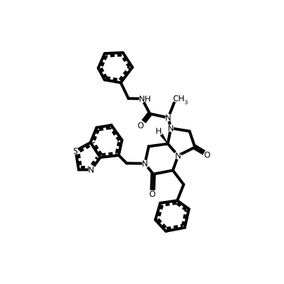 CN(C(=O)NCc1ccccc1)N1CC(=O)N2C(Cc3ccccc3)C(=O)N(Cc3cccc4scnc34)C[C@@H]21